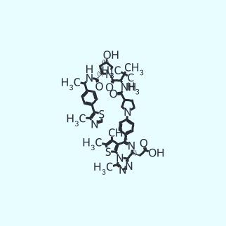 Cc1ncsc1-c1ccc(C(C)NC(=O)[C@@H]2C[C@@H](O)CN2C(=O)C(NC(=O)C2CCN(c3ccc(C4=N[C@@H](CC(=O)O)c5nnc(C)n5-c5sc(C)c(C)c54)cc3)C2)C(C)(C)C)cc1